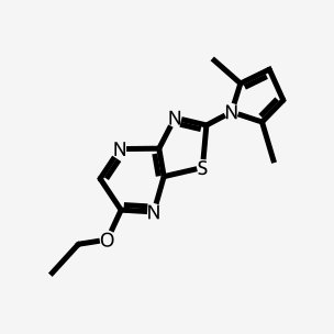 CCOc1cnc2nc(-n3c(C)ccc3C)sc2n1